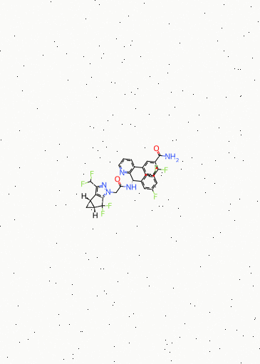 NC(=O)c1cc(-c2cccnc2[C@@H](NC(=O)Cn2nc(C(F)F)c3c2C(F)(F)[C@@H]2C[C@H]32)c2cc(F)cc(F)c2)ccc1F